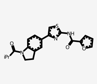 CC(C)C(=O)N1CCc2cc(-c3csc(NC(=O)c4ccco4)n3)ccc21